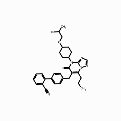 CCCc1c(Cc2ccc(-c3ccccc3C#N)cc2)c(=O)n(C2CCC(OCC(C)O)CC2)c2ncnn12